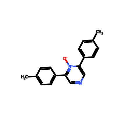 Cc1ccc(-c2cncc(-c3ccc(C)cc3)[n+]2[O-])cc1